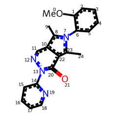 COc1ccccc1-n1c(C)c2cnn(-c3ccccn3)c(=O)c2c1C